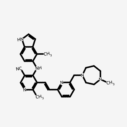 Cc1ncc(C#N)c(Nc2ccc3[nH]ccc3c2C)c1C=Cc1cccc(CN2CCCN(C)CC2)n1